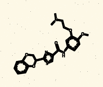 COc1ccc(NC(=O)c2csc(C3COc4ccccc4O3)n2)cc1OCCN(C)C